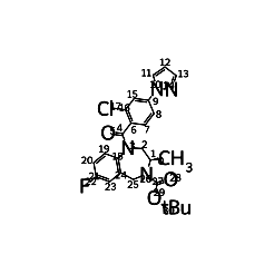 C[C@@H]1CN(C(=O)c2ccc(-n3cccn3)cc2Cl)c2ccc(F)cc2CN1C(=O)OC(C)(C)C